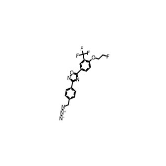 [N-]=[N+]=NCc1ccc(-c2noc(-c3ccc(OCCF)c(C(F)(F)F)c3)n2)cc1